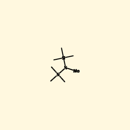 C[Si](C)(C)[N]([Mo])[Si](C)(C)C